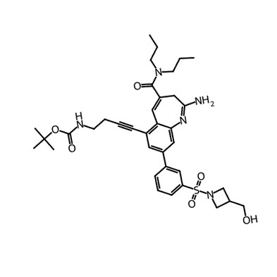 CCCN(CCC)C(=O)C1=Cc2c(C#CCCNC(=O)OC(C)(C)C)cc(-c3cccc(S(=O)(=O)N4CC(CO)C4)c3)cc2N=C(N)C1